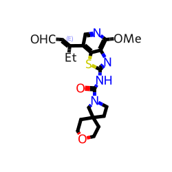 CC/C(=C\C=O)c1cnc(OC)c2nc(NC(=O)N3CCC4(CCOCC4)C3)sc12